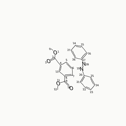 COC(=O)c1cccc(C(=O)OC)c1.c1ccc(N=Nc2ccccc2)cc1